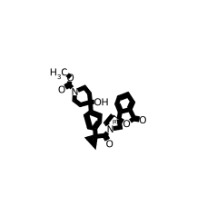 COC(=O)N1CCC(O)(c2ccc(C3(C(=O)N4CC[C@@]5(C4)OC(=O)c4ccccc45)CC3)cc2)CC1